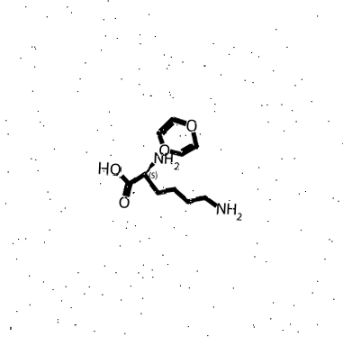 C1=COC=CO1.NCCCC[C@H](N)C(=O)O